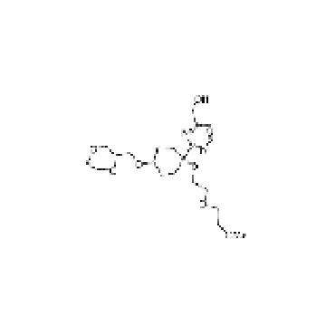 COCCOCCOC1(c2nccc(CO)n2)CCC(OCC2COCCO2)CC1